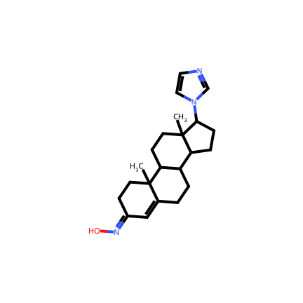 CC12CCC(=NO)C=C1CCC1C2CCC2(C)C1CCC2n1ccnc1